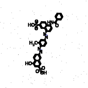 Cc1cc(/N=N/c2ccc(NC(=O)c3ccccc3)c3ccc(S(=O)(=O)O)cc23)ccc1/N=N/c1ccc2c(O)cc(S(=O)(=O)O)cc2c1